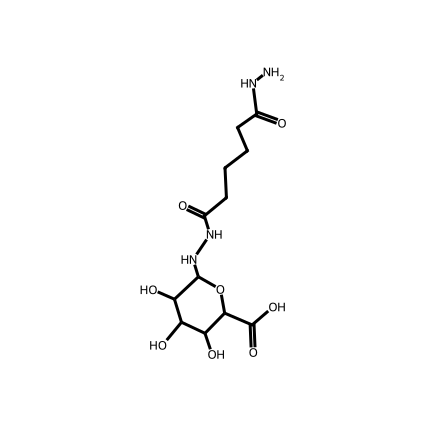 NNC(=O)CCCCC(=O)NNC1OC(C(=O)O)C(O)C(O)C1O